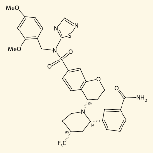 COc1ccc(CN(c2ncns2)S(=O)(=O)c2ccc3c(c2)OCC[C@@H]3N2CC[C@@H](C(F)(F)F)C[C@H]2c2cccc(C(N)=O)c2)c(OC)c1